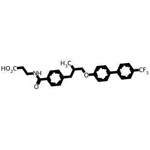 CC(COc1ccc(-c2ccc(C(F)(F)F)cc2)cc1)Cc1ccc(C(=O)NCCC(=O)O)cc1